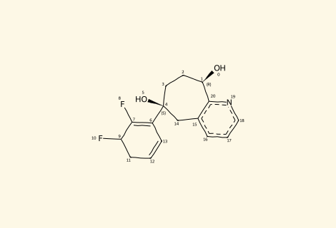 O[C@@H]1CC[C@@](O)(C2=C(F)C(F)CC=C2)Cc2cccnc21